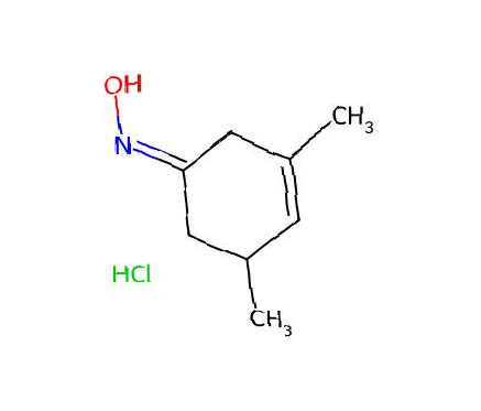 CC1=CC(C)CC(=NO)C1.Cl